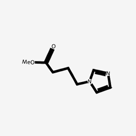 COC(=O)CCCn1c[c]nc1